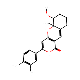 COc1ccc(-c2cc3c(c(=O)o2)C=C2CCCC(OC=O)C2(C)O3)cc1OC